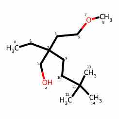 CCC(CO)(CCOC)CCC(C)(C)C